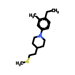 CCc1ccc(N2CCC(CCSC)CC2)cc1C